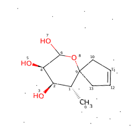 C[C@@H]1[C@@H](O)[C@@H](O)C(O)OC12CC=CC2